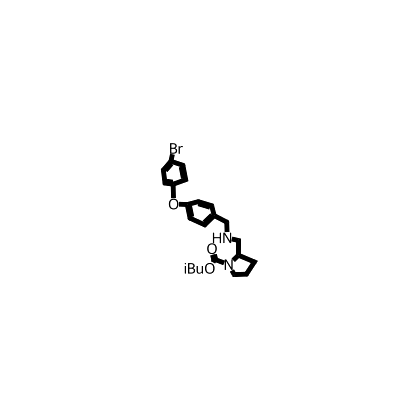 CC(C)COC(=O)N1CCCC1CNCc1ccc(Oc2ccc(Br)cc2)cc1